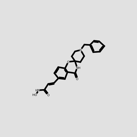 O=C(C=Cc1ccc2c(c1)C(=O)NC1(CCN(Cc3ccccc3)CC1)O2)NO